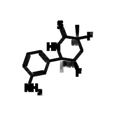 C[C@@]1(F)C[C@@H](F)[C@@](C)(c2cccc(N)c2)NC1=S